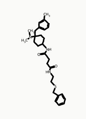 Cc1cccc(CC2(N(C)C)CCC(NC(=O)CCC(=O)NCCSCc3ccccc3)CC2)c1